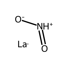 O=[NH+][O-].[La]